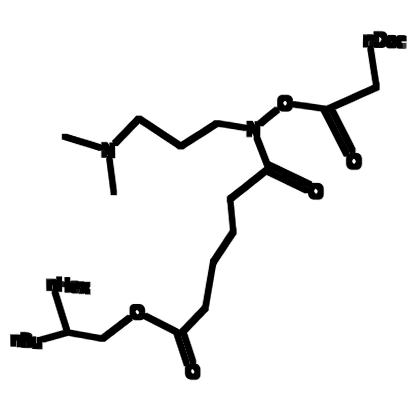 CCCCCCCCCCCC(=O)ON(CCCN(C)C)C(=O)CCCCC(=O)OCC(CCCC)CCCCCC